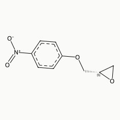 O=[N+]([O-])c1ccc(OC[C@@H]2CO2)cc1